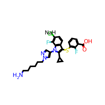 NCCCCCCn1cc(-n2c(C3CC3)c(Sc3cccc(C(=O)O)c3F)c3ccc(Cl)c(F)c32)cn1.[NaH]